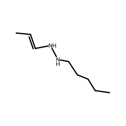 CC=CNNCCCCC